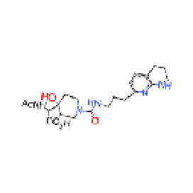 CC(=O)NC(C(=O)O)C1(O)CCN(C(=O)NCCCc2ccc3c(n2)NCCC3)CC1